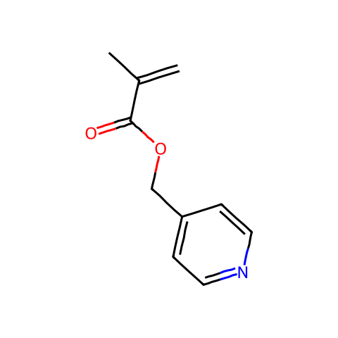 C=C(C)C(=O)OCc1ccncc1